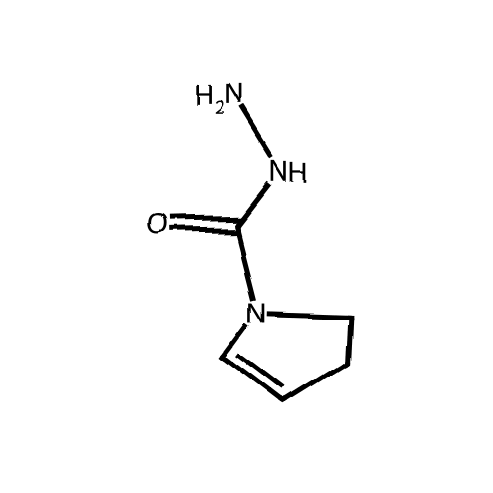 NNC(=O)N1C=CCC1